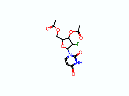 CC(=O)OCC1OC(n2ccc(=O)[nH]c2=O)C(F)C1OC(C)=O